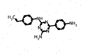 C=Cc1ccc(Nc2nc(N)nc(-c3ccc(N)cc3)n2)cc1